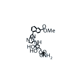 COC(=O)c1ccc2c(-c3cc4nccc(N[C@@H]5CC(COS(N)(=O)=O)[C@@H](O)[C@H]5O)n4n3)cccc2c1